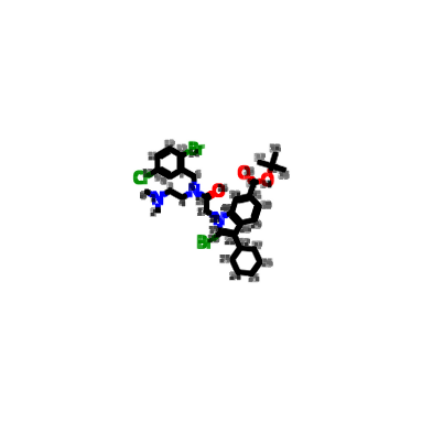 CN(C)CCN(Cc1cc(Cl)ccc1Br)C(=O)Cn1c(Br)c(C2CCCCC2)c2ccc(C(=O)OC(C)(C)C)cc21